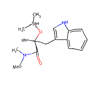 CON(C)C(=O)C(Cc1c[nH]c2ccccc12)(O[SiH](C)C)C(C)(C)C